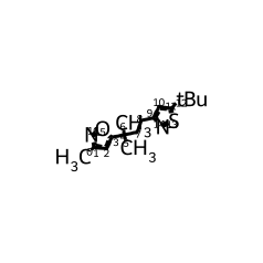 Cc1cc(C(C)(C)CCc2cc(C(C)(C)C)sn2)on1